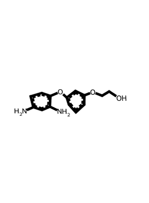 Nc1ccc(Oc2cccc(OCCO)c2)c(N)c1